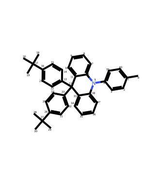 Cc1ccc(N2c3ccccc3C(c3ccc(C(C)(C)C)cc3)(c3ccc(C(C)(C)C)cc3)c3ccccc32)cc1